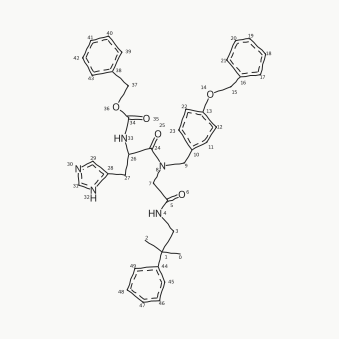 CC(C)(CNC(=O)CN(Cc1ccc(OCc2ccccc2)cc1)C(=O)C(Cc1cnc[nH]1)NC(=O)OCc1ccccc1)c1ccccc1